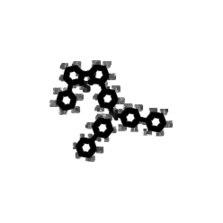 c1ccc(-c2ccc(N(c3ccc(-c4ccccc4)cc3)c3ccc(-c4cccc5c4sc4c(-c6ccccc6)cccc45)cc3)cc2)cc1